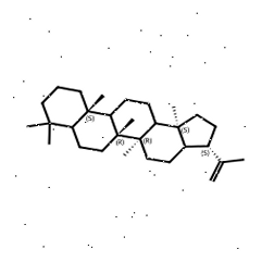 C=C(C)[C@H]1CC[C@@]2(C)C1CC[C@]1(C)C2CCC2[C@@]3(C)CCCC(C)(C)C3CC[C@]21C